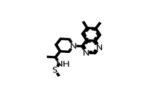 CSNC(C)C1CCCN(c2ncnc3cc(C)c(C)cc23)C1